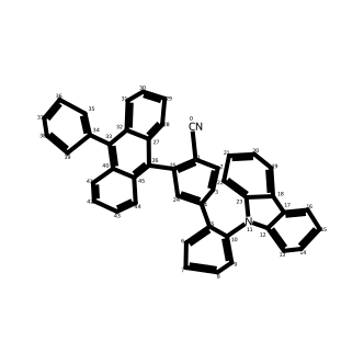 N#Cc1ccc(-c2ccccc2-n2c3ccccc3c3ccccc32)cc1-c1c2ccccc2c(-c2ccccc2)c2ccccc12